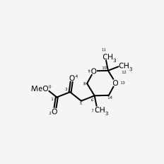 COC(=O)C(=O)CC1(C)COC(C)(C)OC1